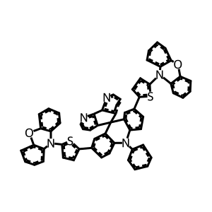 c1ccc(N2c3ccc(-c4ccc(N5c6ccccc6Oc6ccccc65)s4)cc3C3(c4cc(-c5ccc(N6c7ccccc7Oc7ccccc76)s5)ccc42)c2cccnc2-c2ncccc23)cc1